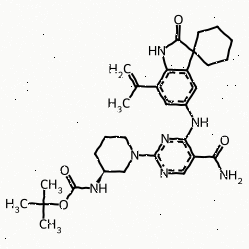 C=C(C)c1cc(Nc2nc(N3CCC[C@H](NC(=O)OC(C)(C)C)C3)ncc2C(N)=O)cc2c1NC(=O)C21CCCCC1